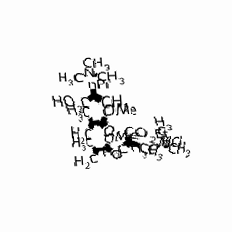 C=C(C)C(=O)OC.C=C(C)C(=O)OC.C=C(C)C(=O)OCC.C=C(CCC)C(=O)O.CN(C)C.CN(C)C.Cl